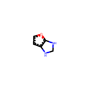 c1cc2c(o1)NCN2